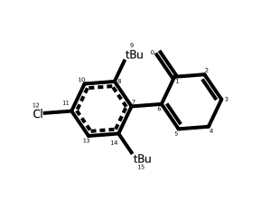 C=C1C=CCC=C1c1c(C(C)(C)C)cc(Cl)cc1C(C)(C)C